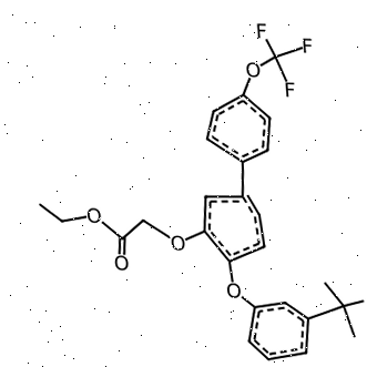 CCOC(=O)COc1cc(-c2ccc(OC(F)(F)F)cc2)ccc1Oc1cccc(C(C)(C)C)c1